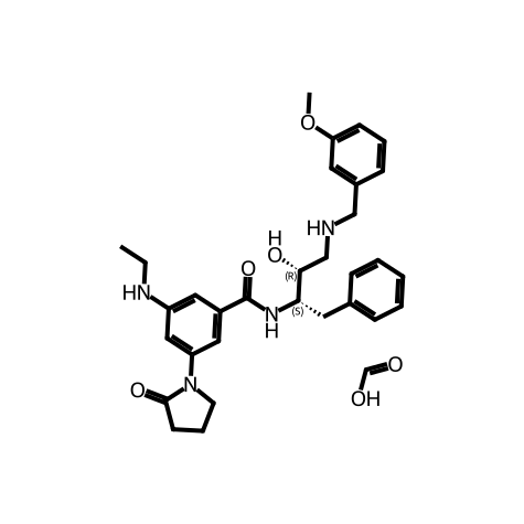 CCNc1cc(C(=O)N[C@@H](Cc2ccccc2)[C@H](O)CNCc2cccc(OC)c2)cc(N2CCCC2=O)c1.O=CO